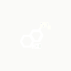 Cl.Nc1ccc2c(c1)CCCC2